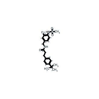 CC(C)(C)c1ccc(CCC(=O)NCc2ccc(NS(C)(=O)=O)c(F)c2)cc1